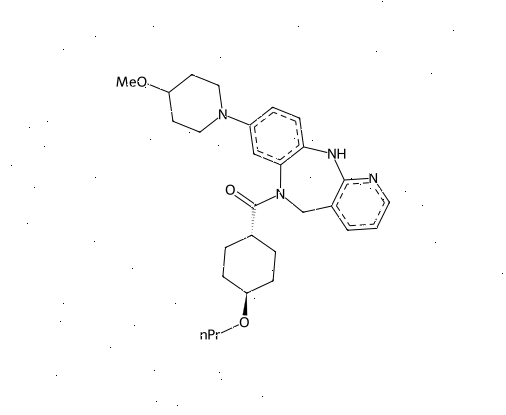 CCCO[C@H]1CC[C@H](C(=O)N2Cc3cccnc3Nc3ccc(N4CCC(OC)CC4)cc32)CC1